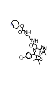 Cc1sc2c(c1C)C(c1ccc(Cl)cc1)=N[C@@H](CC(=O)NCCCNC(=O)OC1CC/C=C/CCC1)c1nnc(C)n1-2